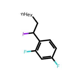 CCCCC[CH]CC(I)c1ccc(F)cc1F